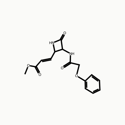 COC(=O)C=CC1NC(=O)C1NC(=O)COc1ccccc1